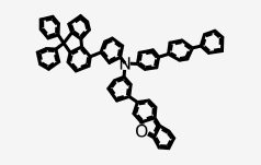 c1ccc(-c2ccc(-c3ccc(N(c4cccc(-c5ccc6c(c5)oc5ccccc56)c4)c4cccc(-c5cccc6c5-c5ccccc5C6(c5ccccc5)c5ccccc5)c4)cc3)cc2)cc1